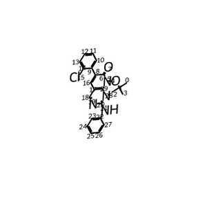 CC(C)(C)On1c(=O)c(-c2ccccc2Cl)cc2cnc(Nc3ccccc3)nc21